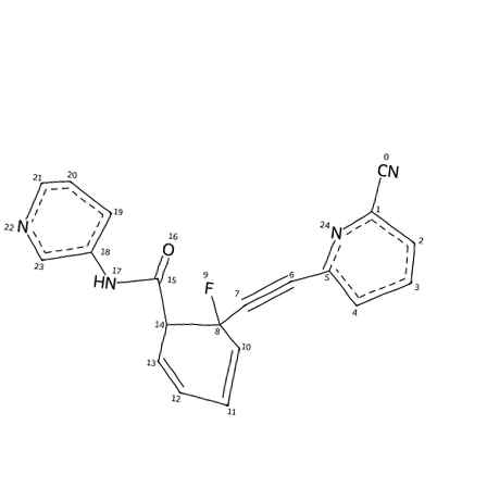 N#Cc1cccc(C#CC2(F)C=CC=CC2C(=O)Nc2cccnc2)n1